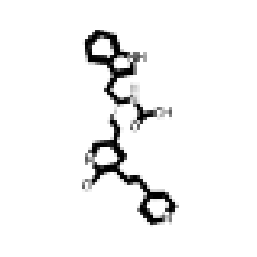 O=C(O)N[C@H](CCc1cnc(Cl)c(C=Cc2ccncc2)c1)Cc1c[nH]c2ccccc12